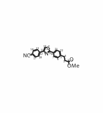 COC(=O)CCc1ccc(-c2nc(-c3ccc(C#N)cc3)cs2)cc1